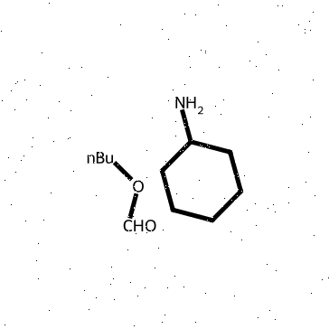 CCCCOC=O.NC1CCCCC1